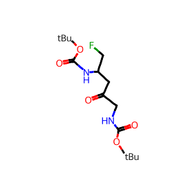 CC(C)(C)OC(=O)NCC(=O)CC(CF)NC(=O)OC(C)(C)C